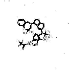 Cc1c(C(c2ccc3c(c2)C(N2Cc4ccncc4OC(C)(C)C2)CC3)C(C)(C)C(=O)O)ccc2c1nnn2C.O=C(O)C(F)(F)F